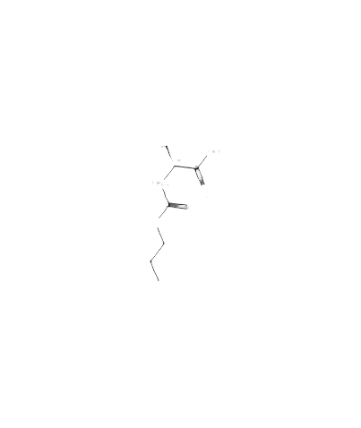 CCCOC(=O)N[C@@H](C)C(=O)O